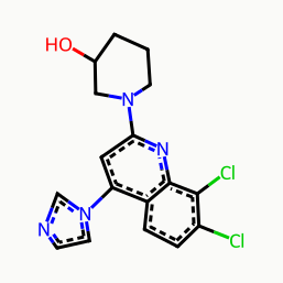 OC1CCCN(c2cc(-n3ccnc3)c3ccc(Cl)c(Cl)c3n2)C1